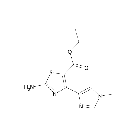 CCOC(=O)c1sc(N)nc1-c1cn(C)cn1